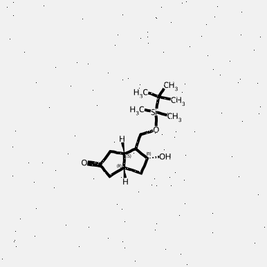 CC(C)(C)[Si](C)(C)OCC1[C@H](O)C[C@@H]2CC(=O)C[C@H]12